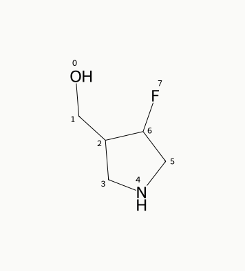 OCC1CNCC1F